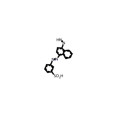 N=Nc1ccc(/N=N/c2cccc(S(=O)(=O)O)c2)c2ccccc12